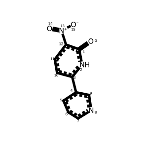 O=c1[nH]c(-c2cccnc2)ccc1[N+](=O)[O-]